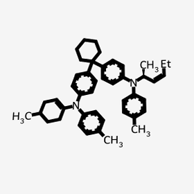 CC/C=C\[C@H](C)N(c1ccc(C)cc1)c1ccc(C2(c3ccc(N(C4=CCC(C)CC4)c4ccc(C)cc4)cc3)CCCCC2)cc1